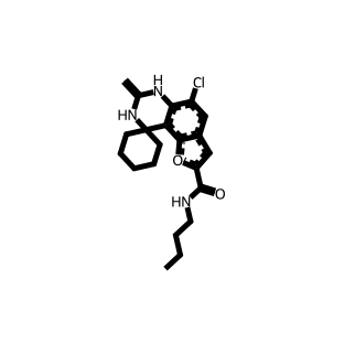 C=C1Nc2c(Cl)cc3cc(C(=O)NCCCC)oc3c2C2(CCCCC2)N1